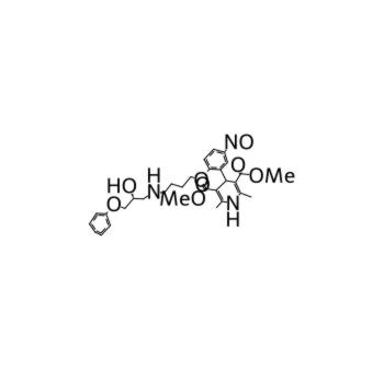 COC(=O)C1=C(C)NC(C)=C(C(=O)OC)C1c1cc(N=O)ccc1OCCCCNC[C@H](O)COc1ccccc1